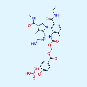 CCNC(=O)c1ccc(C)c(N(C(=O)OCOC(=O)c2ccc(OP(=O)(O)O)cc2)/C(=N/C=N)c2[nH]cc(C(=O)NCC)c2C)c1